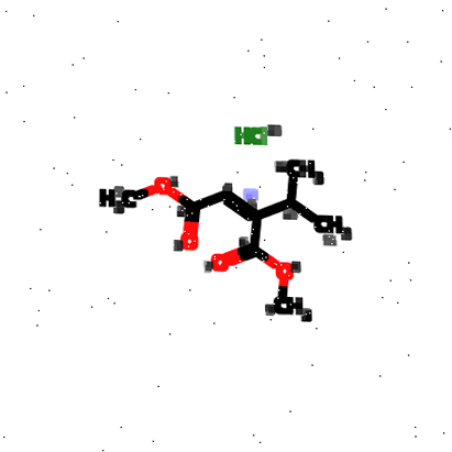 COC(=O)/C=C(\C(=O)OC)C(C)C.Cl